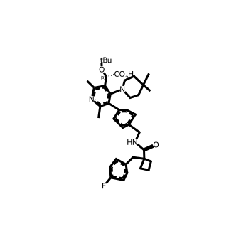 Cc1nc(C)c([C@H](OC(C)(C)C)C(=O)O)c(N2CCC(C)(C)CC2)c1-c1ccc(CNC(=O)C2(Cc3ccc(F)cc3)CCC2)cc1